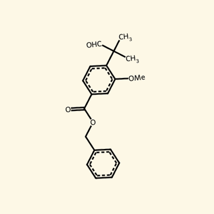 COc1cc(C(=O)OCc2ccccc2)ccc1C(C)(C)C=O